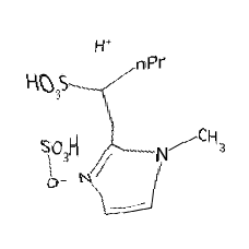 CCCC(c1nccn1C)S(=O)(=O)O.O=S(=O)([O-])O.[H+]